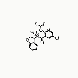 CN(C(=O)c1cc(Cl)cnc1OC(F)F)C1COc2ccccc21